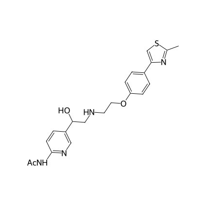 CC(=O)Nc1ccc(C(O)CNCCOc2ccc(-c3csc(C)n3)cc2)cn1